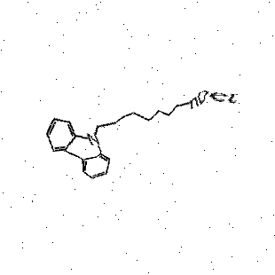 CCCCCCCCCCCCCCCCCn1c2ccccc2c2ccccc21